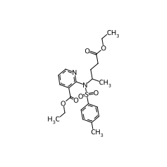 CCOC(=O)CCC(C)N(c1ncccc1C(=O)OCC)S(=O)(=O)c1ccc(C)cc1